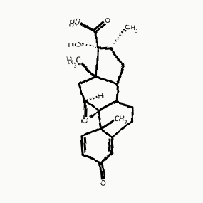 C[C@@H]1CC2C3CCC4=CC(=O)C=CC4(C)[C@@]34O[C@H]4CC2(C)[C@@]1(O)C(=O)O